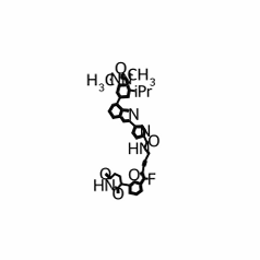 CC(C)c1cc(-c2cccc3cc(-c4ccc(C(=O)NCC#Cc5oc6c(C7CCC(=O)NC7=O)cccc6c5F)nc4)ncc23)cc2c1n(C)c(=O)n2C